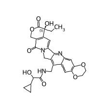 CC[C@@]1(O)C(=O)OCc2c1cc1n(c2=O)Cc2c-1nc1cc3c(cc1c2CNC(=O)C(O)C1CC1)OCCO3